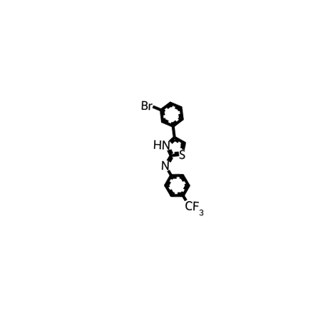 FC(F)(F)c1ccc(N=c2[nH]c(-c3cccc(Br)c3)cs2)cc1